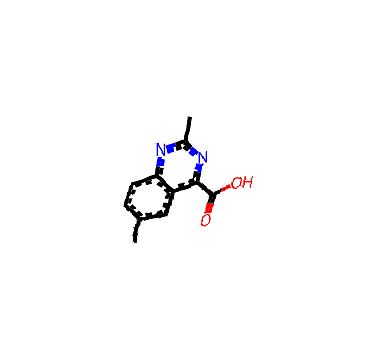 Cc1ccc2nc(C)nc(C(=O)O)c2c1